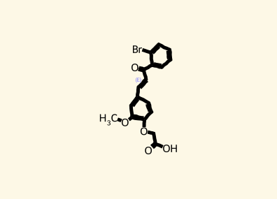 COc1cc(/C=C/C(=O)c2ccccc2Br)ccc1OCC(=O)O